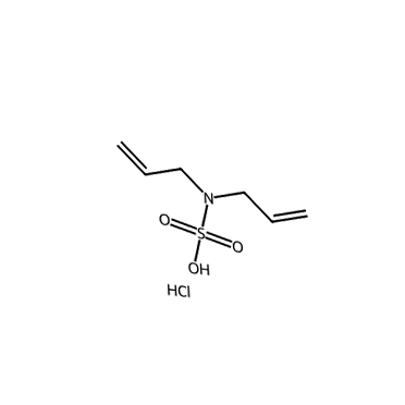 C=CCN(CC=C)S(=O)(=O)O.Cl